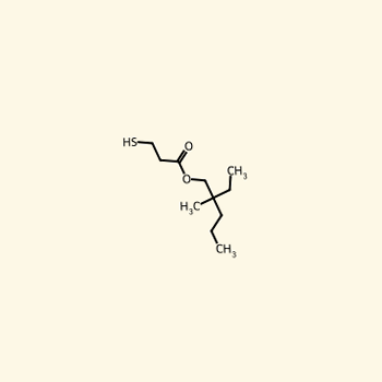 CCCC(C)(CC)COC(=O)CCS